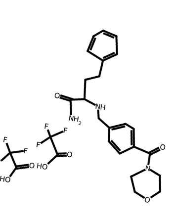 NC(=O)C(CCc1ccccc1)NCc1ccc(C(=O)N2CCOCC2)cc1.O=C(O)C(F)(F)F.O=C(O)C(F)(F)F